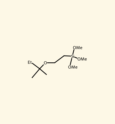 CCC(C)(C)OCC[Si](OC)(OC)OC